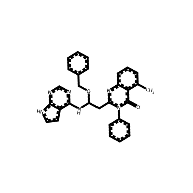 Cc1cccc2nc(CC(Nc3ncnc4[nH]ccc34)OCc3ccccc3)n(-c3ccccc3)c(=O)c12